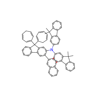 CC1(C)c2ccccc2-c2ccc(N(c3ccc4c(c3)C(C)(C)c3ccccc3-4)c3cc4c(cc3-c3ccc5ccccc5c3)-c3ccccc3C4(C3=CC=CCC=C3)C3=CC=CC=CC3)cc21